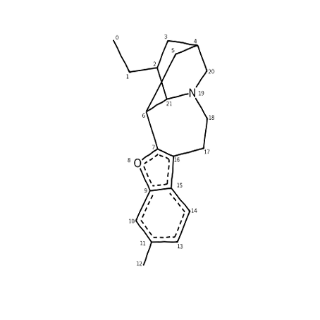 CCC1CC2CC3c4oc5cc(C)ccc5c4CCN(C2)C13